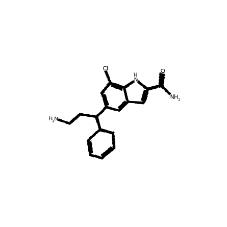 NCCC(c1cc(Cl)c2[nH]c(C(N)=O)cc2c1)C1C=CC=CC1